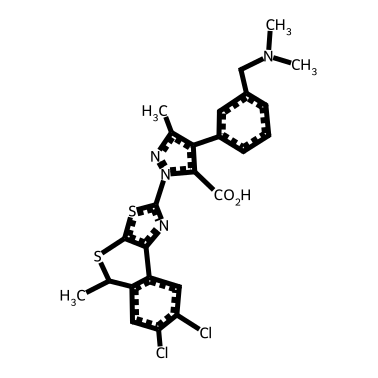 Cc1nn(-c2nc3c(s2)SC(C)c2cc(Cl)c(Cl)cc2-3)c(C(=O)O)c1-c1cccc(CN(C)C)c1